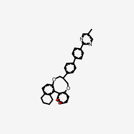 Cc1cnc(-c2ccc(-c3ccc(C4COc5ccc6c(c5-c5c(ccc7c5CCCC7)OC4)CCCC6)cc3)cc2)nc1